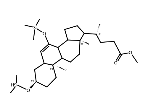 COC(=O)CC[C@@H](C)C1CCC2C3C(O[Si](C)(C)C)=CC4C[C@H](O[SiH](C)C)CC[C@]4(C)C3CC[C@@]21C